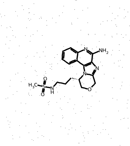 CS(=O)(=O)NCCC[C@H]1COCc2nc3c(N)nc4ccccc4c3n21